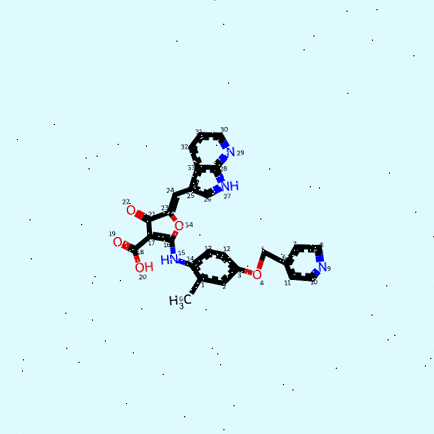 Cc1cc(OCc2ccncc2)ccc1NC1=C(C(=O)O)C(=O)C(=Cc2c[nH]c3ncccc23)O1